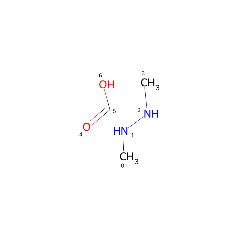 CNNC.O=CO